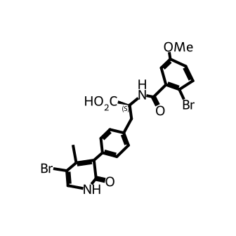 COc1ccc(Br)c(C(=O)N[C@@H](Cc2ccc(-c3c(C)c(Br)c[nH]c3=O)cc2)C(=O)O)c1